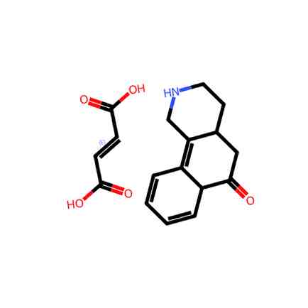 O=C(O)/C=C/C(=O)O.O=C1CC2CCNCC2=C2C=CC=CC12